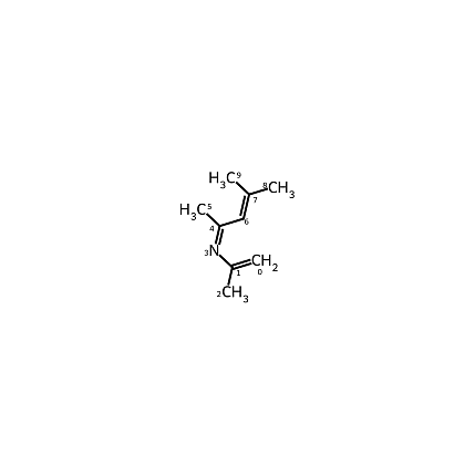 C=C(C)/N=C(/C)C=C(C)C